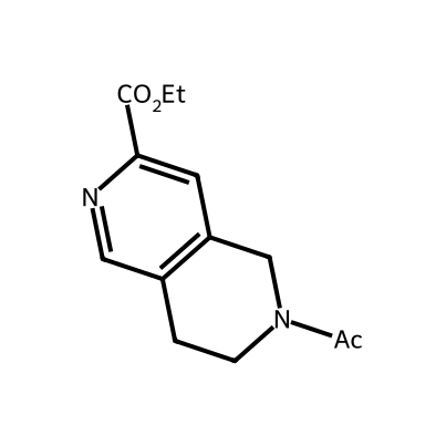 CCOC(=O)c1cc2c(cn1)CCN(C(C)=O)C2